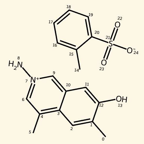 Cc1cc2c(C)c[n+](N)cc2cc1O.Cc1ccccc1S(=O)(=O)[O-]